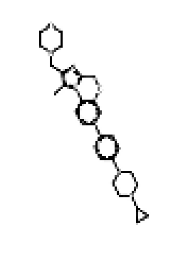 Cc1c(CN2CCOCC2)nc2n1-c1ccc(-c3ccc(N4CCN(C5CC5)CC4)cc3)cc1OC2